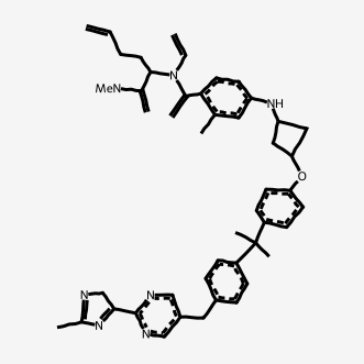 C=CCCC(C(=C)NC)N(C=C)C(=C)c1ccc(NC2CC(Oc3ccc(C(C)(C)c4ccc(Cc5cnc(C6=NC(C)=NC6)nc5)cc4)cc3)C2)cc1C